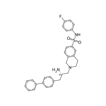 N[C@@H](Cc1ccc(-c2ccccc2)cc1)CN1CCc2cc(S(=O)(=O)Nc3ccc(F)cc3)ccc2C1